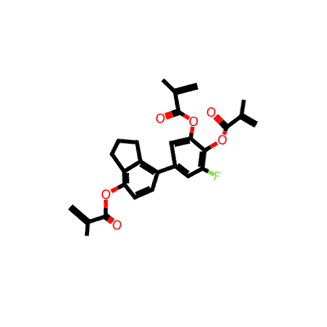 C=C(C)C(=O)Oc1ccc(-c2cc(F)c(OC(=O)C(=C)C)c(OC(=O)C(=C)C)c2)c2c1CCC2